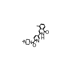 Cc1cccc2c(=O)[nH]c(-c3ccc(C(=O)N4CCN(C)CC4)nc3)cc12